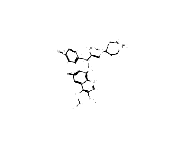 CCN1CCC(n2cc([C@@H](Nc3cc(Cl)cc4c(NCC(C)(C)C)c(C#N)cnc34)c3ccc(Cl)cc3)nn2)CC1